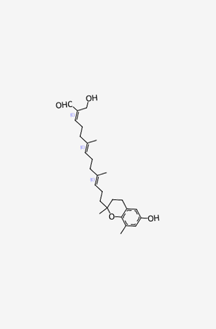 C/C(=C\CC/C(C)=C/CCC1(C)CCc2cc(O)cc(C)c2O1)CC/C=C(/C=O)CO